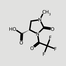 CN1C[C@@H](C(=O)O)N(C(=O)C(F)(F)F)C1=O